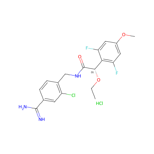 CCO[C@H](C(=O)NCc1ccc(C(=N)N)cc1Cl)c1c(F)cc(OC)cc1F.Cl